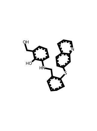 OCc1cccc(NCc2ccccc2Sc2ccc3cccnc3c2)c1O